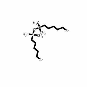 C[Si](C)(CCCCCBr)O[Si](C)(C)CCCCCBr